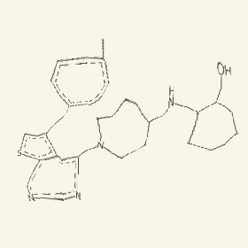 Cc1ccc(-c2csc3ncnc(N4CCC(NC5CCCCC5O)CC4)c23)cc1